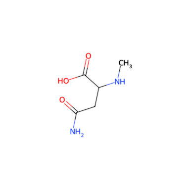 CNC(CC(N)=O)C(=O)O